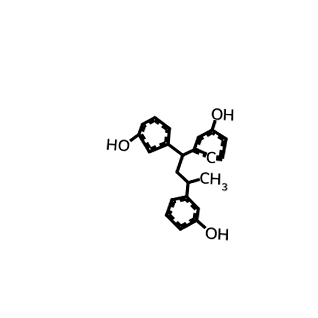 CC(CC(c1cccc(O)c1)c1cccc(O)c1)c1cccc(O)c1